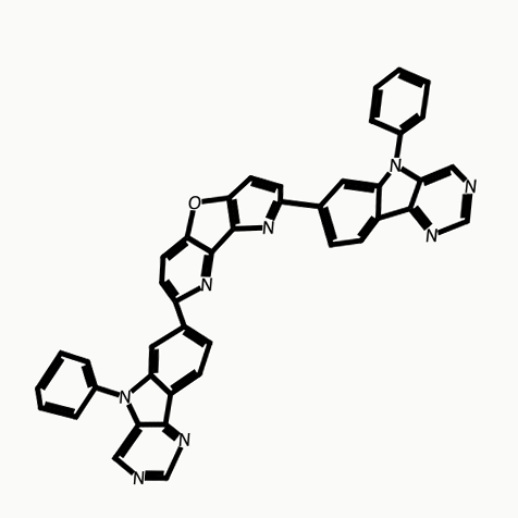 c1ccc(-n2c3cc(-c4ccc5oc6ccc(-c7ccc8c9ncncc9n(-c9ccccc9)c8c7)nc6c5n4)ccc3c3ncncc32)cc1